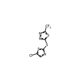 FC(F)(F)c1nnc(Sc2ncc(Cl)s2)s1